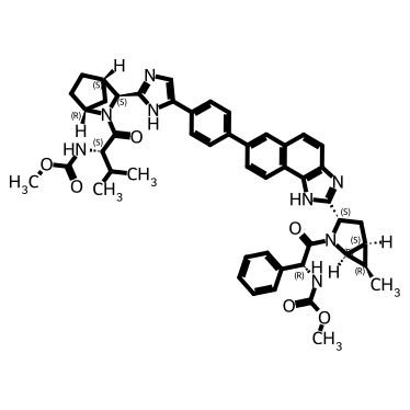 COC(=O)N[C@H](C(=O)N1[C@@H]2CC[C@@H](C2)[C@H]1c1ncc(-c2ccc(-c3ccc4c(ccc5nc([C@@H]6C[C@H]7[C@@H](C)[C@H]7N6C(=O)[C@H](NC(=O)OC)c6ccccc6)[nH]c54)c3)cc2)[nH]1)C(C)C